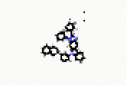 c1cc(-c2ccc3ccccc3c2)cc(-n2c3ccccc3c3cc4nc5c6ccccc6c6ccccc6n5c4cc32)c1